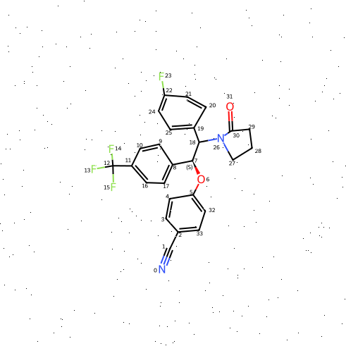 N#Cc1ccc(O[C@@H](c2ccc(C(F)(F)F)cc2)C(c2ccc(F)cc2)N2CCCC2=O)cc1